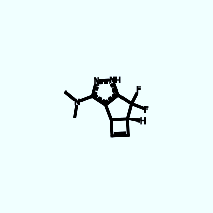 CN(C)c1n[nH]c2c1C1C=C[C@H]1C2(F)F